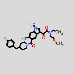 CCN(CCOC)C(=O)C(=O)c1cn(C)c2cc(Cl)c(C(=O)N3CCC(Cc4ccc(F)cc4)CC3)cc12